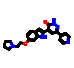 O=c1[nH]nc(-c2ccncc2)cc1-c1cc2ccc(OCCN3CCCC3)cc2[nH]1